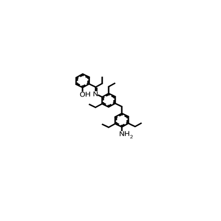 CC/C(=N\c1c(CC)cc(Cc2cc(CC)c(N)c(CC)c2)cc1CC)c1ccccc1O